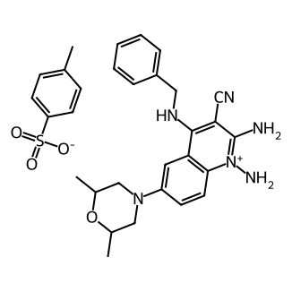 CC1CN(c2ccc3c(c2)c(NCc2ccccc2)c(C#N)c(N)[n+]3N)CC(C)O1.Cc1ccc(S(=O)(=O)[O-])cc1